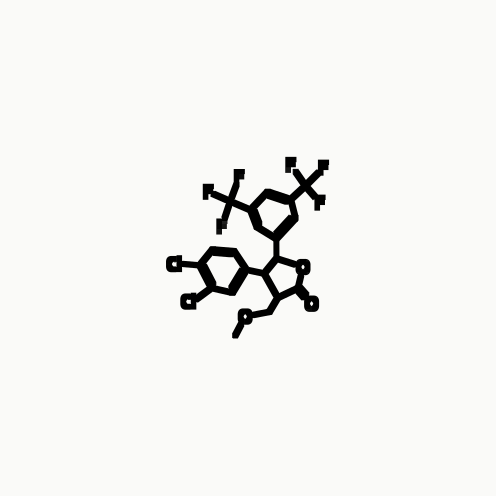 COCC1C(=O)OC(c2cc(C(F)(F)F)cc(C(F)(F)F)c2)C1c1ccc(Cl)c(Cl)c1